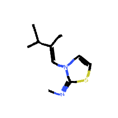 C/N=c1/sccn1/C=C(\C)C(C)C